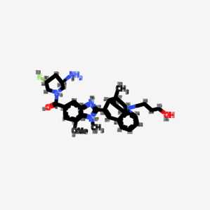 COc1cc(C(=O)N2C[C@H](N)C[C@@H](F)C2)cc2nc(C3=Cc4cccc5c4CCC3C(C)CN5CCCO)n(C)c12